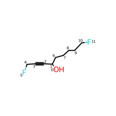 OC(C#CCF)CCCCCF